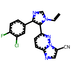 C=Cn1cnc(-c2ccc(F)c(Cl)c2)c1-c1ccc2ncc(C#N)n2n1